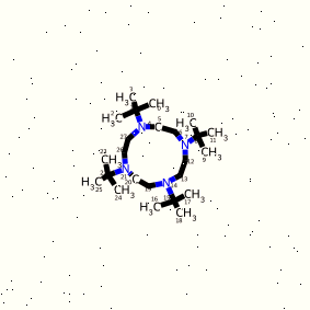 CC(C)(C)N1CCN(C(C)(C)C)CCN(C(C)(C)C)CCN(C(C)(C)C)CC1